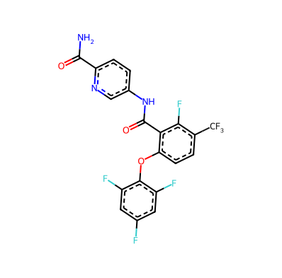 NC(=O)c1ccc(NC(=O)c2c(Oc3c(F)cc(F)cc3F)ccc(C(F)(F)F)c2F)cn1